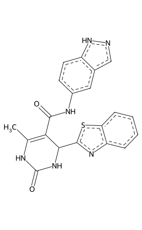 CC1=C(C(=O)Nc2ccc3[nH]ncc3c2)C(c2nc3ccccc3s2)NC(=O)N1